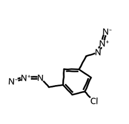 [N-]=[N+]=NCc1cc(Cl)cc(CN=[N+]=[N-])c1